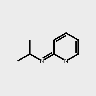 CC(C)N=C1C=CC=C[N]1